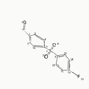 O=Cc1ccc(S(=O)(=O)c2ccc(F)cc2)cc1